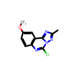 Cc1nc2c3cc(OC(F)(F)F)ccc3nc(Cl)n2n1